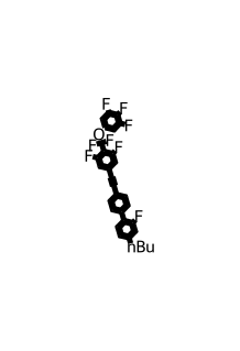 CCCCc1ccc(-c2ccc(C#Cc3cc(F)c(C(F)(F)Oc4cc(F)c(F)c(F)c4)c(F)c3)cc2)c(F)c1